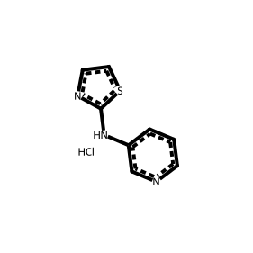 Cl.c1cncc(Nc2nccs2)c1